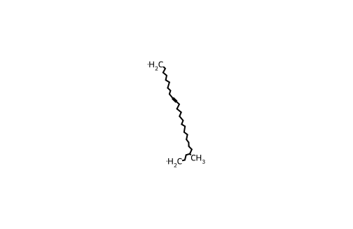 [CH2]CCCCCCCCC#CCCCCCCCCCCCCCC(C)CC[CH2]